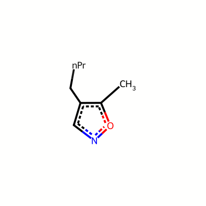 CCCCc1cnoc1C